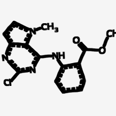 COC(=O)c1ccccc1Nc1nc(Cl)nc2ccn(C)c12